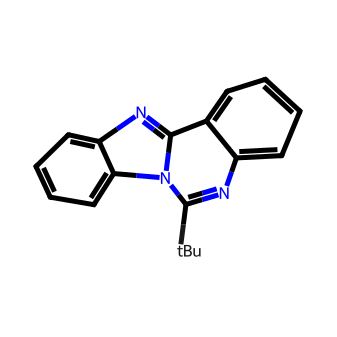 CC(C)(C)c1nc2ccccc2c2nc3ccccc3n12